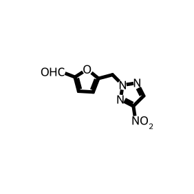 O=Cc1ccc(Cn2ncc([N+](=O)[O-])n2)o1